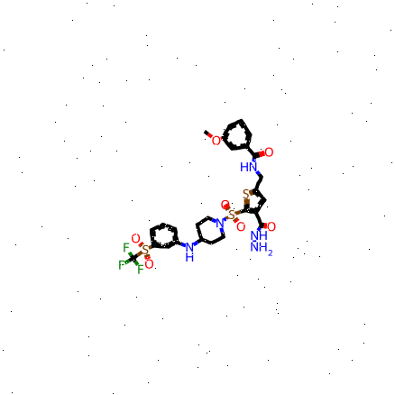 COc1cccc(C(=O)NCc2cc(C(=O)NN)c(S(=O)(=O)N3CCC(Nc4cccc(S(=O)(=O)C(F)(F)F)c4)CC3)s2)c1